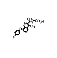 O=C(O)CNC(=O)c1ncc2c(Oc3ccc(F)cc3)cccc2c1O